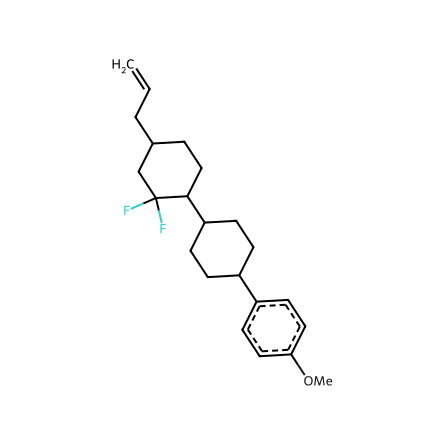 C=CCC1CCC(C2CCC(c3ccc(OC)cc3)CC2)C(F)(F)C1